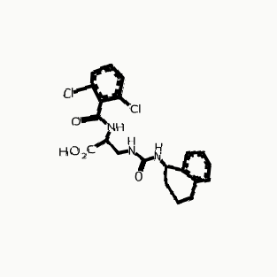 O=C(NCC(NC(=O)c1c(Cl)cccc1Cl)C(=O)O)NC1CCCc2ccccc21